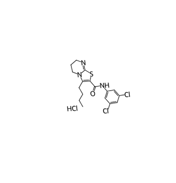 CCCCC1=C(C(=O)Nc2cc(Cl)cc(Cl)c2)SC2=NCCCN21.Cl